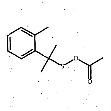 CC(=O)OSC(C)(C)c1ccccc1C